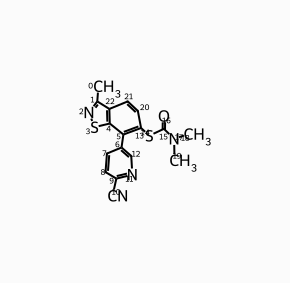 Cc1nsc2c(-c3ccc(C#N)nc3)c(SC(=O)N(C)C)ccc12